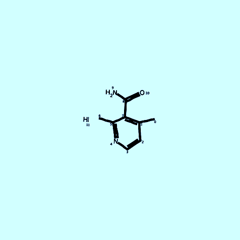 Cc1ccnc(C)c1C(N)=O.I